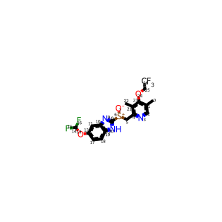 Cc1cnc(C[S+]([O-])c2nc3cc(OC(F)F)ccc3[nH]2)c(C)c1OCC(F)(F)F